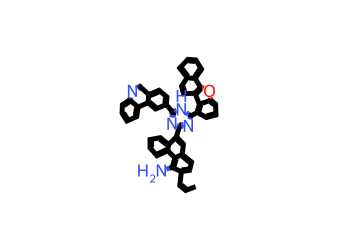 C/C=C\c1ccc2cc(C3=NC(c4cccc5oc6c7ccccc7ccc6c45)NC(c4ccc5cnc6ccccc6c5c4)=N3)c3ccccc3c2c1N